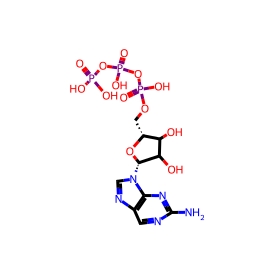 Nc1ncc2ncn([C@@H]3O[C@H](COP(=O)(O)OP(=O)(O)OP(=O)(O)O)C(O)C3O)c2n1